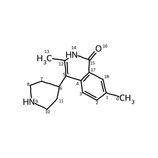 Cc1ccc2c(C3CCNCC3)c(C)[nH]c(=O)c2c1